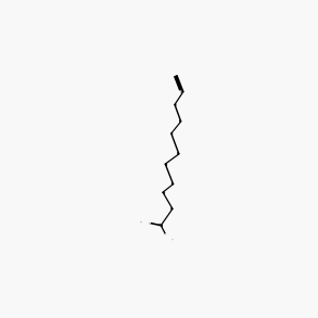 C=CCCCCCCCCC(O)O